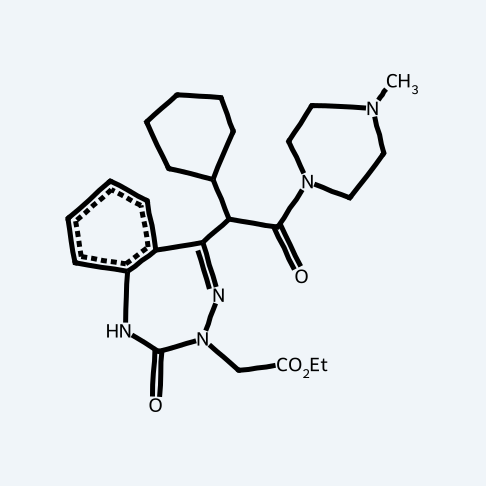 CCOC(=O)CN1N=C(C(C(=O)N2CCN(C)CC2)C2CCCCC2)c2ccccc2NC1=O